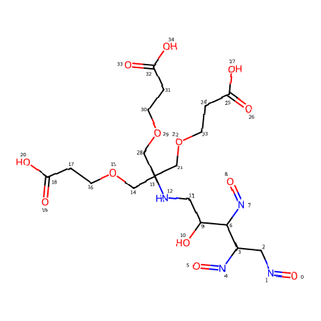 O=NCC(N=O)C(N=O)C(O)CNC(COCCC(=O)O)(COCCC(=O)O)COCCC(=O)O